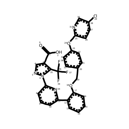 O=C(O)c1cnn(-c2cccc(-c3ccccc3OCc3ccc(Oc4ccc(Cl)cn4)cc3)n2)c1C(F)(F)F